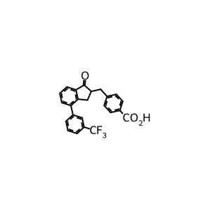 O=C(O)c1ccc(CC2Cc3c(cccc3-c3cccc(C(F)(F)F)c3)C2=O)cc1